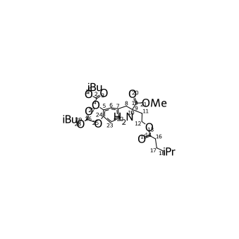 CCC(C)OC(=O)Oc1cc(C[C@](N)(CCOC(=O)CCC(C)C)C(=O)OC)ccc1OC(=O)O[C@@H](C)CC